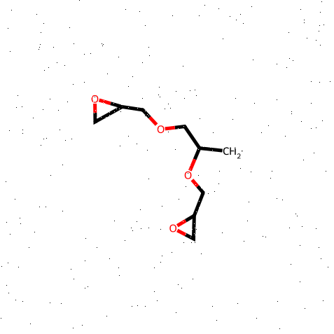 [CH2]C(COCC1CO1)OCC1CO1